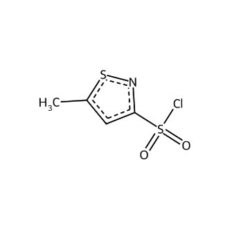 Cc1cc(S(=O)(=O)Cl)ns1